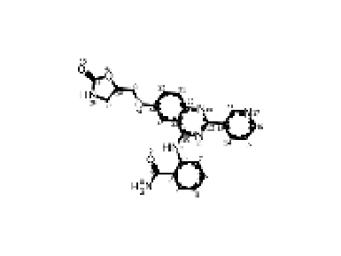 NC(=O)c1ccccc1Nc1nc(-c2cccnc2)nc2ccc(OCC3CNC(=O)O3)cc12